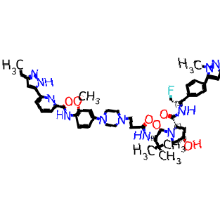 CCc1cc(-c2cccc(C(=O)Nc3ccc(N4CCN(CCC(=O)N[C@H](C(=O)N5C[C@H](O)C[C@H]5C(=O)N[C@H](CF)c5ccc(-c6ccnn6C)cc5)C(C)(C)C)CC4)cc3OC)n2)[nH]n1